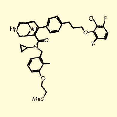 COCCOc1cccc(CN(C(=O)C2=C(c3ccc(CCCOc4c(F)ccc(F)c4Cl)cc3)CC3CNCC2N3)C2CC2)c1C